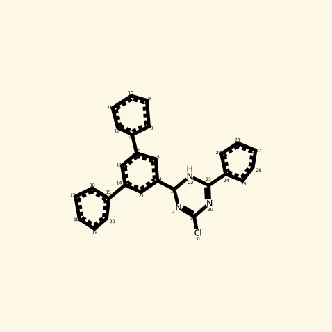 ClC1=NC(c2cc(-c3ccccc3)cc(-c3ccccc3)c2)NC(c2ccccc2)=N1